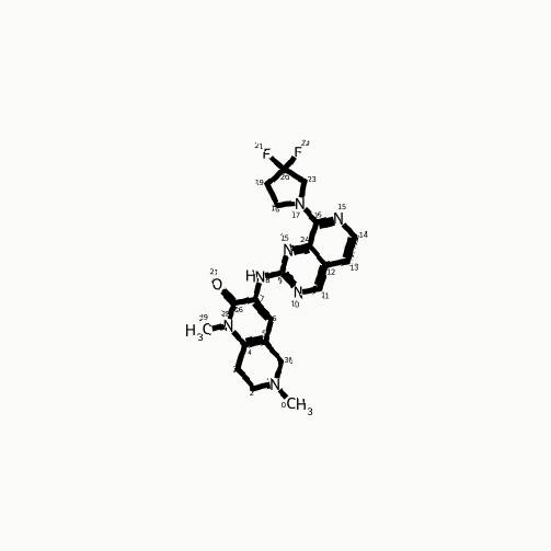 CN1CCc2c(cc(Nc3ncc4ccnc(N5CCC(F)(F)C5)c4n3)c(=O)n2C)C1